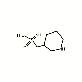 CS(=N)(=O)CC1CCCNC1